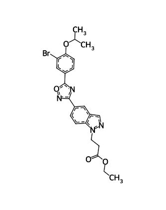 CCOC(=O)CCn1ncc2cc(-c3noc(-c4ccc(OC(C)C)c(Br)c4)n3)ccc21